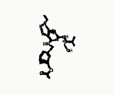 CCn1nnc2c(NCc3cccc(OC(C)=O)c3)nc(N[C@@H](CO)C(C)C)nc21